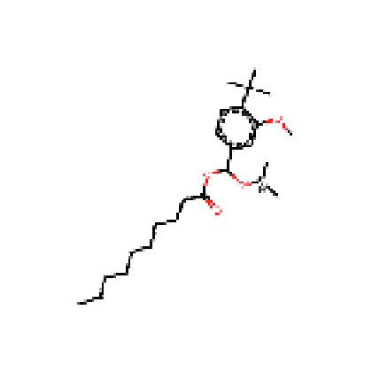 CCCCCCCCCC(=O)OC(O[SiH](C)C)c1ccc(C(C)(C)C)c(OC)c1